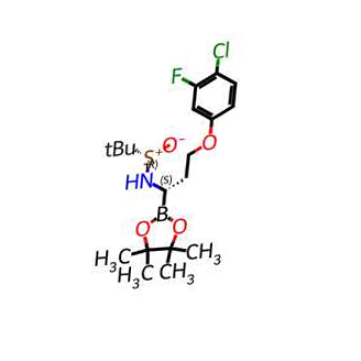 CC(C)(C)[S@+]([O-])N[C@H](CCOc1ccc(Cl)c(F)c1)B1OC(C)(C)C(C)(C)O1